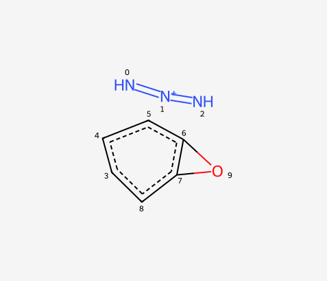 N=[N+]=N.c1ccc2c(c1)O2